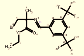 CCOC(=O)C(C)(CBr)/N=C/c1cc(C(F)(F)F)cc(C(F)(F)F)c1